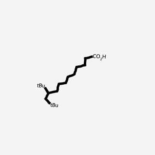 CC(C)(C)CC(CCCCCCCCC(=O)O)C(C)(C)C